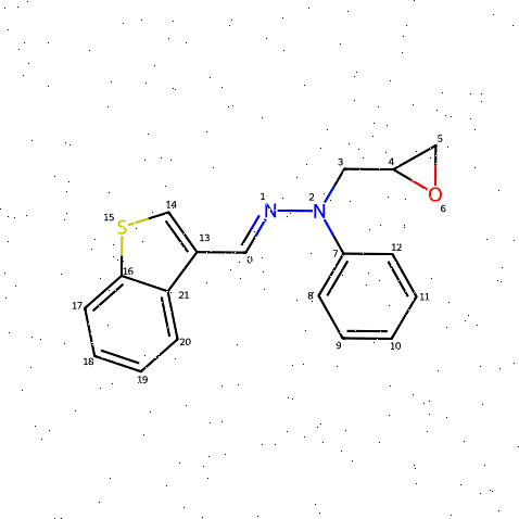 C(=N\N(CC1CO1)c1ccccc1)/c1csc2ccccc12